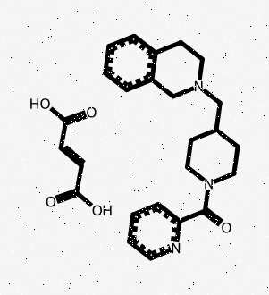 O=C(O)C=CC(=O)O.O=C(c1ccccn1)N1CCC(CN2CCc3ccccc3C2)CC1